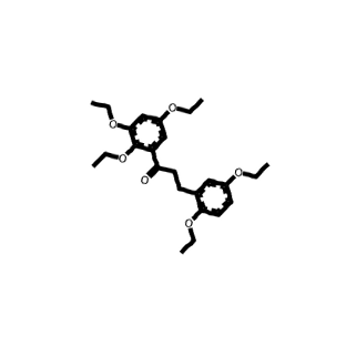 CCOc1ccc(OCC)c(CCC(=O)c2cc(OCC)cc(OCC)c2OCC)c1